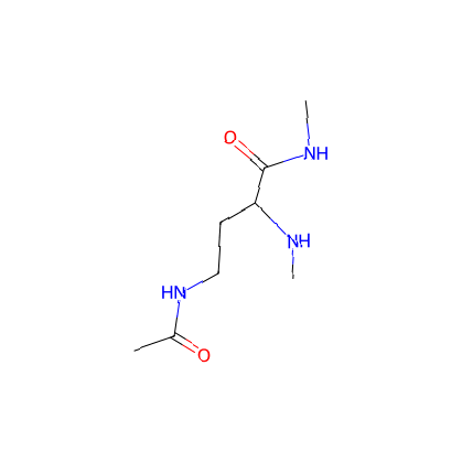 CNC(=O)C(CCNC(C)=O)NC